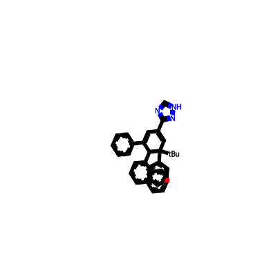 CC(C)(C)C1(c2ccccc2)C=C(c2nc[nH]n2)C=C(c2ccccc2)C1c1cccc2ccccc12